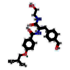 CC(C)COc1ccc(C(=O)N/C(=C\c2ccc(C=O)cc2)C(=O)NCCO)cc1